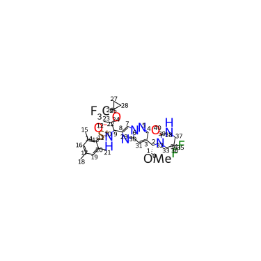 COC[C@H](c1cnn2cc([C@@H](N[S@@+]([O-])c3c(C)cc(C)cc3C)C(C)OC3(C(F)(F)F)CC3)nc2c1)N1CC(F)(F)CNC1=O